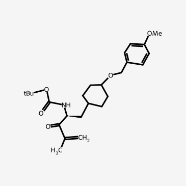 C=C(C)C(=O)[C@H](CC1CCC(OCc2ccc(OC)cc2)CC1)NC(=O)OC(C)(C)C